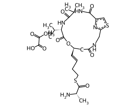 CC(C)[C@@H]1NC(=O)C(C)(C)NC(=O)c2csc(n2)CNC(=O)C[C@@H](/C=C/CCSC(=O)[C@H](C)N)OC1=O.O=C(O)C(=O)O